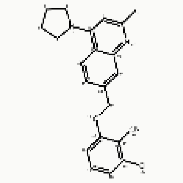 Cc1cc(N2CCCC2)c2ccc(COc3cccc(Cl)c3C#N)cc2n1